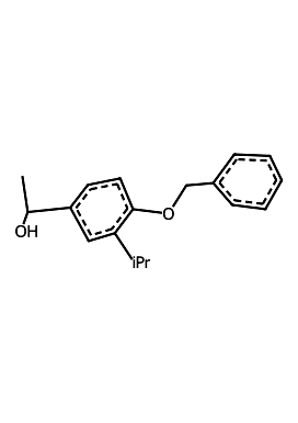 CC(C)c1cc(C(C)O)ccc1OCc1ccccc1